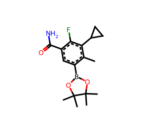 Cc1c(B2OC(C)(C)C(C)(C)O2)cc(C(N)=O)c(F)c1C1CC1